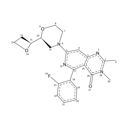 Cc1nc2cc(N3CCO[C@H]([C@@H]4CCO4)C3)nc(-c3ccccc3F)c2c(=O)n1C